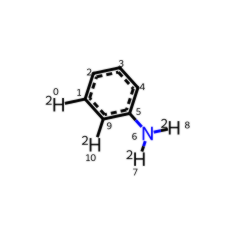 [2H]c1cccc(N([2H])[2H])c1[2H]